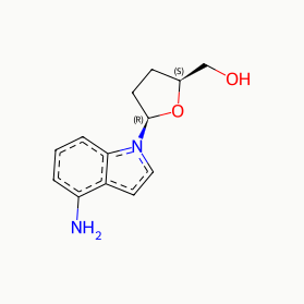 Nc1cccc2c1ccn2[C@H]1CC[C@@H](CO)O1